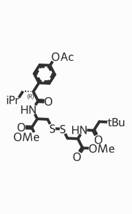 COC(=O)C(CSSCC(NC(=O)[C@H](CC(C)C)c1ccc(OC(C)=O)cc1)C(=O)OC)NC(=O)CC(C)(C)C